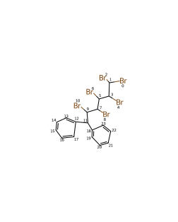 BrC(Br)C(Br)C(Br)C(Br)C(Br)C(c1ccccc1)c1ccccc1